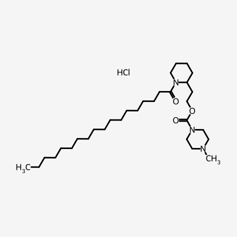 CCCCCCCCCCCCCCCCCC(=O)N1CCCCC1CCOC(=O)N1CCN(C)CC1.Cl